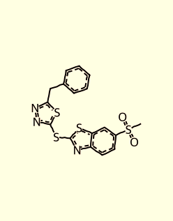 CS(=O)(=O)c1ccc2nc(Sc3nnc(Cc4ccccc4)s3)sc2c1